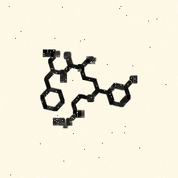 CNCC(CC1CCCCC1)NC(=O)N(CCC(OCCNC(=O)O)c1cccc(Cl)c1)C(C)C